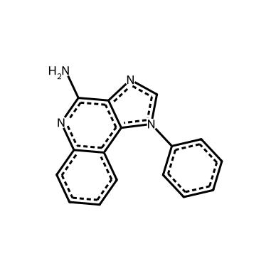 Nc1nc2ccccc2c2c1ncn2-c1ccccc1